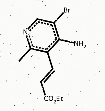 CCOC(=O)/C=C/c1c(C)ncc(Br)c1N